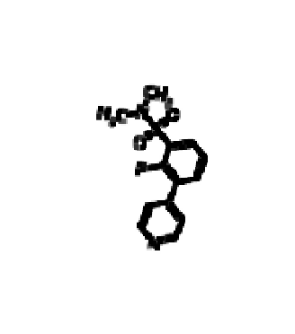 CN(C)S(=O)(=O)c1cccc(-c2ccncc2)c1F